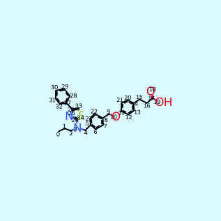 CCCN(Cc1ccc(COc2ccc(CCC(=O)O)cc2)cc1)c1nc(-c2ccccc2)cs1